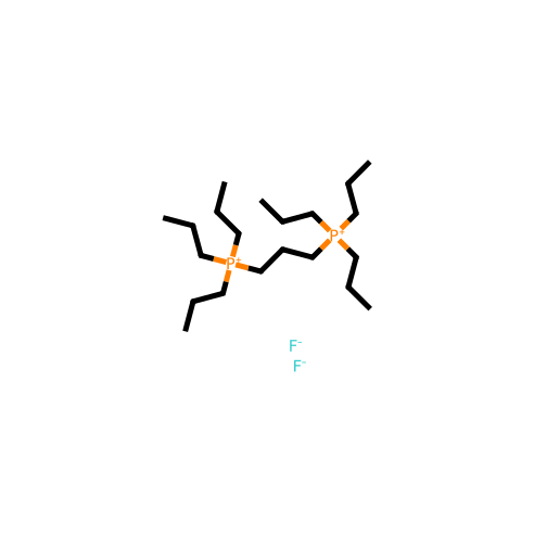 CCC[P+](CCC)(CCC)CCC[P+](CCC)(CCC)CCC.[F-].[F-]